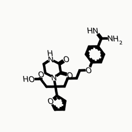 N=C(N)c1ccc(OCCCCC(CC(=O)O)(c2ccco2)N2CCNC(=O)C2=O)cc1